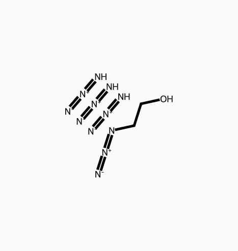 [N-]=[N+]=N.[N-]=[N+]=N.[N-]=[N+]=N.[N-]=[N+]=NCCO